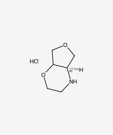 C1COC2COC[C@H]2N1.Cl